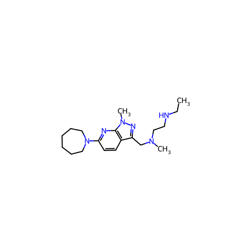 CCNCCN(C)Cc1nn(C)c2nc(N3CCCCCC3)ccc12